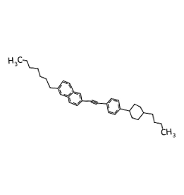 CCCCCCCc1ccc2cc(C#Cc3ccc(C4CCC(CCCC)CC4)cc3)ccc2c1